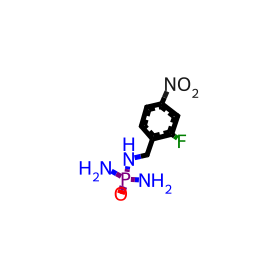 NP(N)(=O)NCc1ccc([N+](=O)[O-])cc1F